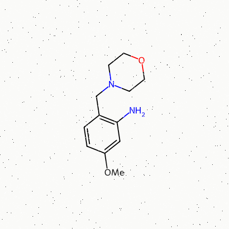 COc1ccc(CN2CCOCC2)c(N)c1